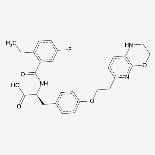 CCc1ccc(F)cc1C(=O)N[C@@H](Cc1ccc(OCCc2ccc3c(n2)OCCN3)cc1)C(=O)O